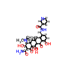 CN(C)[C@@H]1C(O)=C(C(N)=O)C(=O)[C@@]2(O)C(O)=C3C(=O)c4c(O)ccc(CNC(=O)c5cccnc5)c4C[C@@H]3C[C@H]12